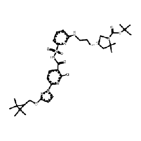 CC(C)(C)OC(=O)N1C[C@@H](CCCNc2cccc(S(=O)(=O)NC(=O)c3ccc(-n4ccc(OCC5C(C)(C)C5(C)C)n4)nc3Cl)n2)CC1(C)C